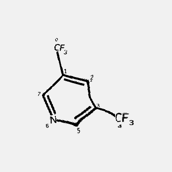 FC(F)(F)c1[c]c(C(F)(F)F)cnc1